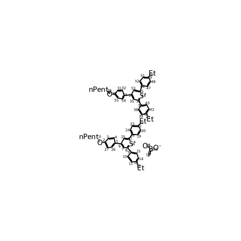 CCCCCOc1ccc(-c2cc(-c3ccc(CC)cc3)[s+]c(-c3ccc(CC)cc3)c2)cc1.CCCCCOc1ccc(-c2cc(-c3ccc(CC)cc3)[s+]c(-c3ccc(CC)cc3)c2)cc1.[O-]B([O-])F